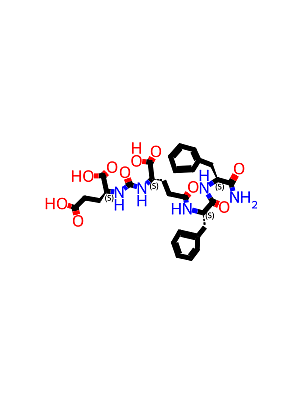 NC(=O)[C@H](Cc1ccccc1)NC(=O)[C@H](Cc1ccccc1)NC(=O)CC[C@H](NC(=O)N[C@@H](CCC(=O)O)C(=O)O)C(=O)O